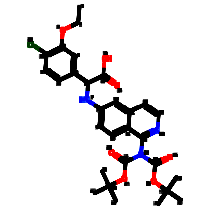 CCOc1cc(C(Nc2ccc3c(N(C(=O)OC(C)(C)C)C(=O)OC(C)(C)C)nccc3c2)C(=O)O)ccc1Cl